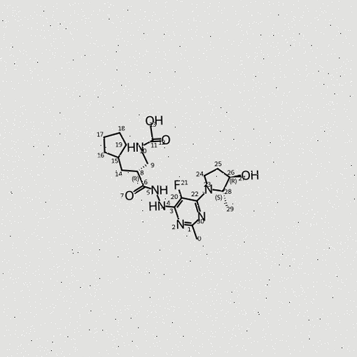 Cc1nc(NNC(=O)[C@@H](CNC(=O)O)CC2CCCC2)c(F)c(N2CC[C@@H](O)[C@@H]2C)n1